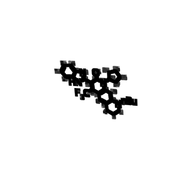 CCCCN1CCCc2cc3c(C(F)(F)F)c(-c4nc5ccccc5[nH]4)c(=O)n(C4CCCC4)c3cc21